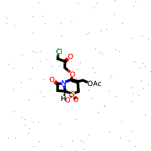 CC(=O)OCC1=C(OCC(=O)CCl)N2C(=O)C[C@H]2S(=O)(=O)C1